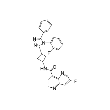 O=C(NC1CC(c2nnc(-c3ccccc3)n2-c2ccccc2F)C1)c1ccnc2cc(F)cnc12